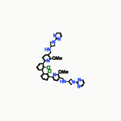 COc1nc(-c2cccc(-c3cccc(-c4ccc(CNC5CN(c6ncccn6)C5)c(OC)n4)c3Cl)c2Cl)ccc1CNC1CN(c2ncccn2)C1